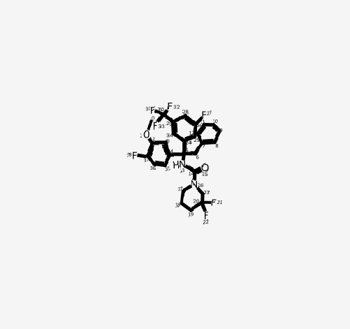 COc1cc(C(Cc2ccccc2)(NC(=O)N2CCCC(F)(F)C2)c2cc(F)cc(C(F)(F)F)c2)ccc1F